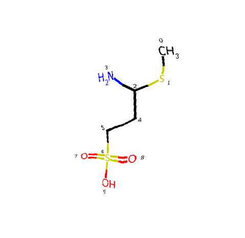 CSC(N)CCS(=O)(=O)O